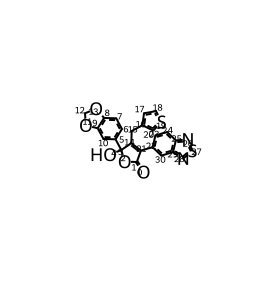 O=C1OC(O)(c2ccc3c(c2)OCO3)C(Cc2ccsc2)=C1c1ccc2nsnc2c1